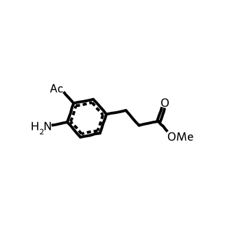 COC(=O)CCc1ccc(N)c(C(C)=O)c1